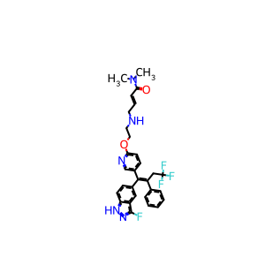 CN(C)C(=O)C=CCNCCOc1ccc(C(=C(CC(F)(F)F)c2ccccc2)c2ccc3[nH]nc(F)c3c2)cn1